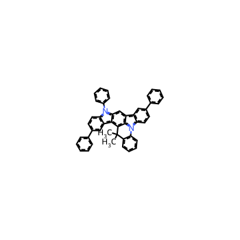 CC1(C)c2ccccc2-n2c3ccc(-c4ccccc4)cc3c3cc4c(c1c32)c1cc(-c2ccccc2)ccc1n4-c1ccccc1